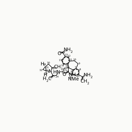 C=C(N)c1ccc2c(c1)CCc1cc(C(N)=O)ccc1C2(CCNCC(=C)N1C(C)C[C@@H]2C[C@@H]21)C(=O)NNC